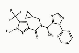 CC(c1ncnn1-c1ncccn1)N(CC1CC1)C(=O)c1cc(C(F)(F)F)n(C)n1